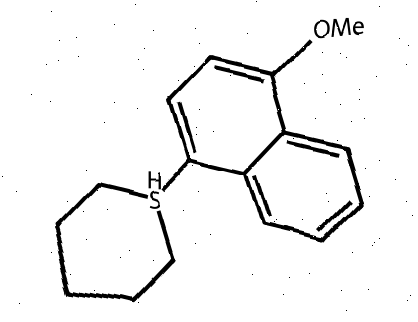 COc1ccc([SH]2CCCCC2)c2ccccc12